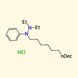 CCCCCCCCCCCCCCCCN(c1ccccc1)N(CC)CC.Cl